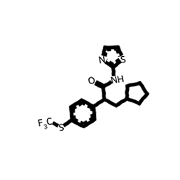 O=C(Nc1nccs1)C(CC1CCCC1)c1ccc(SC(F)(F)F)cc1